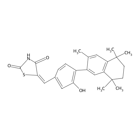 Cc1cc2c(cc1-c1ccc(C=C3SC(=O)NC3=O)cc1O)C(C)(C)CCC2(C)C